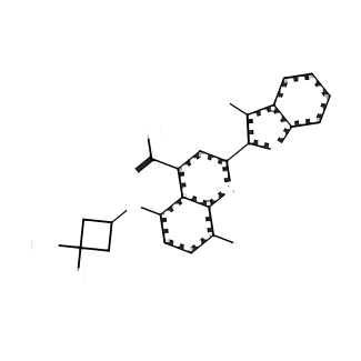 Cc1c(-c2cc(C(=O)O)c3c(OC4CC(C)(C)C4)ccc(C)c3n2)sc2ccccc12